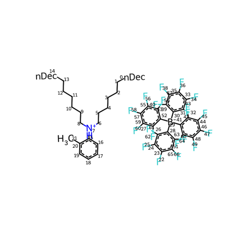 CCCCCCCCCCCCCCCC[NH+](CCCCCCCCCCCCCCCC)c1ccccc1C.Fc1c(F)c(F)c([B-](c2c(F)c(F)c(F)c(F)c2F)(c2c(F)c(F)c(F)c(F)c2F)c2c(F)c(F)c(F)c(F)c2F)c(F)c1F